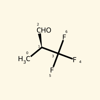 C[C@@H](C=O)C(F)(F)F